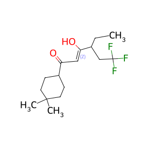 CCC(CC(F)(F)F)/C(O)=C/C(=O)C1CCC(C)(C)CC1